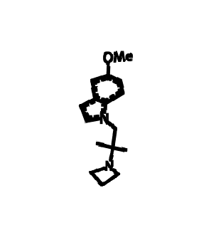 COc1ccc2c(ccn2CC(C)(C)N2CCC2)c1